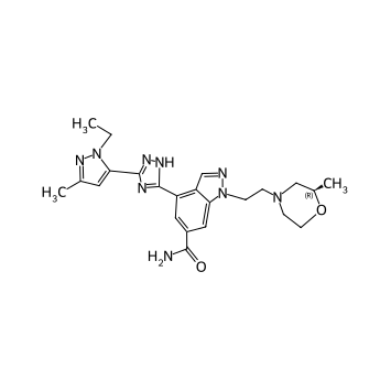 CCn1nc(C)cc1-c1n[nH]c(-c2cc(C(N)=O)cc3c2cnn3CCN2CCO[C@H](C)C2)n1